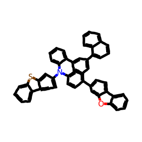 c1cc(-c2ccccc2N(c2ccc(-c3ccc4c(c3)oc3ccccc34)cc2)c2ccc3c(c2)sc2ccccc23)cc(-c2cccc3ccccc23)c1